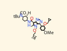 COc1ccc(-c2ncnc3c(C(=O)NC4CCC(N(C(=O)O)C(C)(C)C)CC4)c(C)n(COCC[Si](C)(C)C)c23)c(OCC2CC2)c1